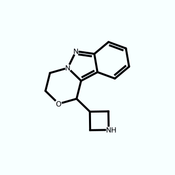 c1ccc2c3n(nc2c1)CCOC3C1CNC1